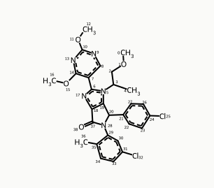 COCC(C)n1c(-c2cnc(OC)nc2OC)nc2c1C(c1ccc(Cl)cc1)N(c1cc(Cl)ccc1C)C2=O